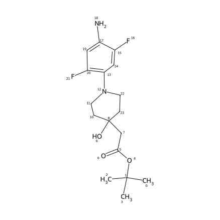 CC(C)(C)OC(=O)CC1(O)CCN(c2cc(F)c(N)cc2F)CC1